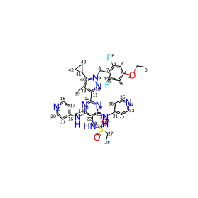 CCOc1cc(F)c(Cn2nc(-c3nc(Nc4ccncc4)c(NS(=O)(=O)CC)c(Nc4ccncc4)n3)c(C)c2C2CC2)c(F)c1